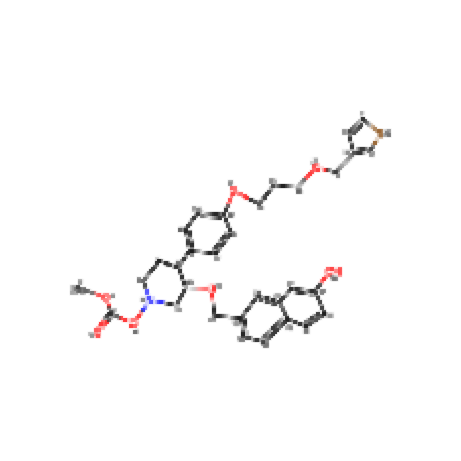 CC(C)(C)OC(=O)ON1CCC(c2ccc(OCCCOCc3ccsc3)cc2)C(OCc2ccc3ccc(O)cc3c2)C1